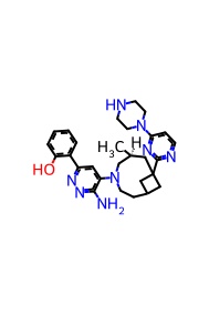 C[C@@H]1CN(c2cc(-c3ccccc3O)nnc2N)CCC2CC(c3nccc(N4CCNCC4)n3)(C2)C1